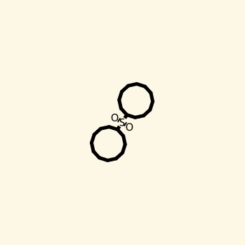 O=S(=O)(C1CCCCCCCCCCC1)C1CCCCCCCCCCC1